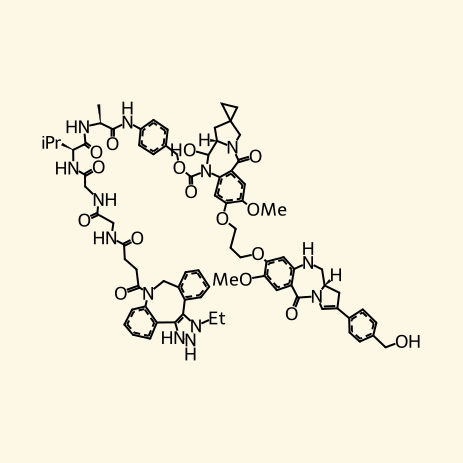 CCN1NNC2=C1c1ccccc1CN(C(=O)CCC(=O)NCC(=O)NCC(=O)N[C@H](C(=O)N[C@@H](C)C(=O)Nc1ccc(COC(=O)N3c4cc(OCCCOc5cc6c(cc5OC)C(=O)N5C=C(c7ccc(CO)cc7)C[C@H]5CN6)c(OC)cc4C(=O)N4CC5(CC5)C[C@H]4C3O)cc1)C(C)C)c1ccccc12